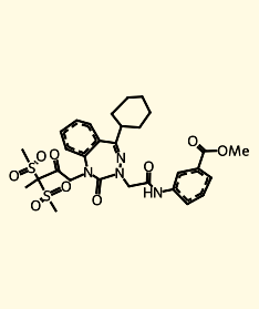 COC(=O)c1cccc(NC(=O)CN2N=C(C3CCCCC3)c3ccccc3N(CC(=O)C(C)(S(C)(=O)=O)S(C)(=O)=O)C2=O)c1